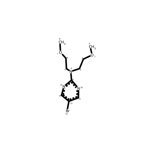 COCCN(CCOC)c1ncc(Br)cn1